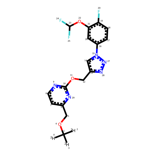 [2H]C([2H])([2H])OCc1ccnc(OCc2cn(-c3ccc(F)c(OC(F)F)c3)nn2)n1